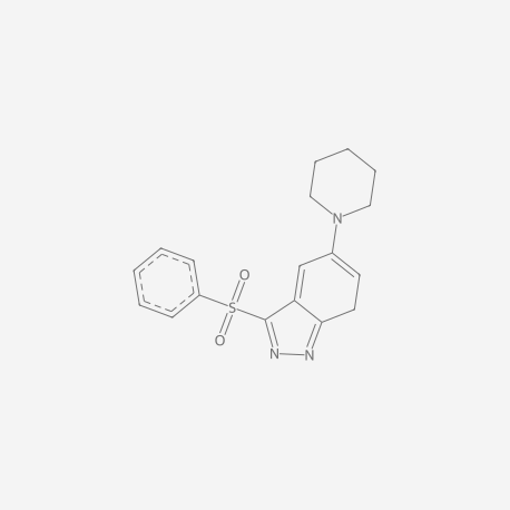 O=S(=O)(C1=NN=C2CC=C(N3CCCCC3)C=C21)c1ccccc1